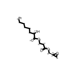 CC(C)CCCCCC(S)C(=O)OCCC(=O)OC[C@@H]1CO1